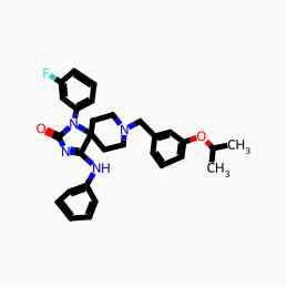 CC(C)Oc1cccc(CN2CCC3(CC2)C(Nc2ccccc2)=NC(=O)N3c2cccc(F)c2)c1